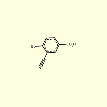 CCc1ccc(C(=O)O)cc1[N+]#N